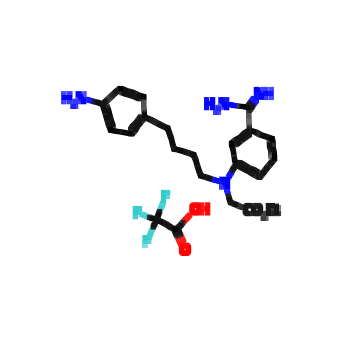 CCOC(=O)CN(CCCCc1ccc(N)cc1)c1cccc(C(=N)N)c1.O=C(O)C(F)(F)F